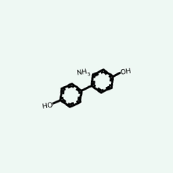 N.Oc1ccc(-c2ccc(O)cc2)cc1